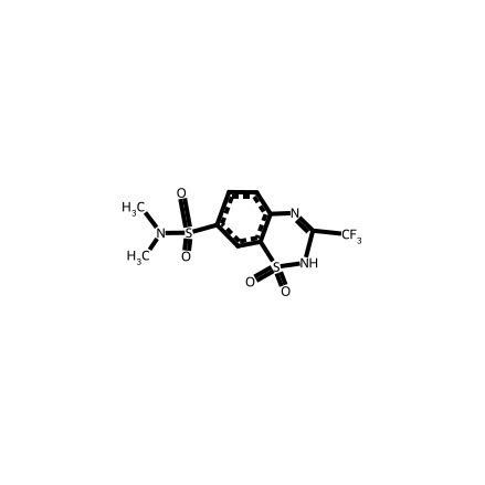 CN(C)S(=O)(=O)c1ccc2c(c1)S(=O)(=O)NC(C(F)(F)F)=N2